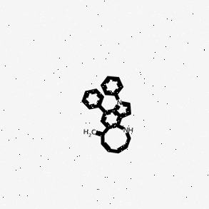 C=C1/C=C\C=C/CNc2c1cc(-c1ccccc1)c1c2ccn1-c1ccccc1